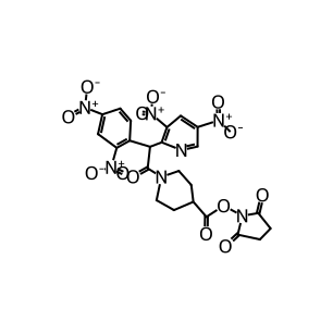 O=C(ON1C(=O)CCC1=O)C1CCN(C(=O)C(c2ccc([N+](=O)[O-])cc2[N+](=O)[O-])c2ncc([N+](=O)[O-])cc2[N+](=O)[O-])CC1